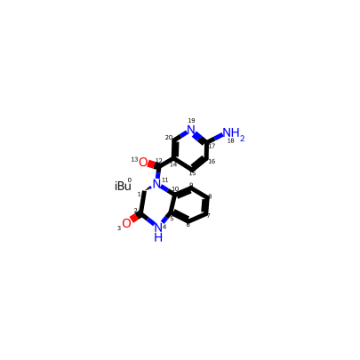 CC[C@H](C)[C@H]1C(=O)Nc2ccccc2N1C(=O)c1ccc(N)nc1